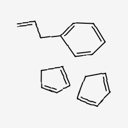 C1=CCC=C1.C1=CCC=C1.C=CCc1ccccc1